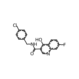 O=C(NCc1ccc(Cl)cc1)c1cnc2cc(F)ccc2c1O